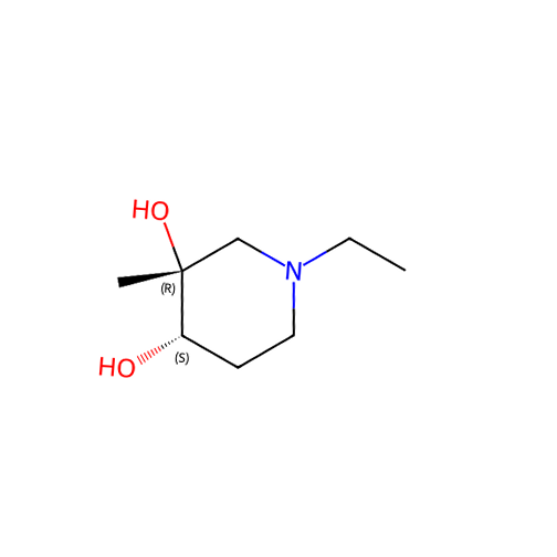 CCN1CC[C@H](O)[C@](C)(O)C1